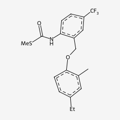 CCc1ccc(OCc2cc(C(F)(F)F)ccc2NC(=O)SC)c(C)c1